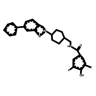 O=C(NCC1CCC(n2cc3ccc(-c4ccccc4)cc3n2)CC1)c1cc(F)c(O)c(F)c1